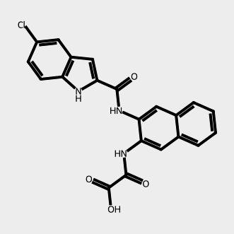 O=C(O)C(=O)Nc1cc2ccccc2cc1NC(=O)c1cc2cc(Cl)ccc2[nH]1